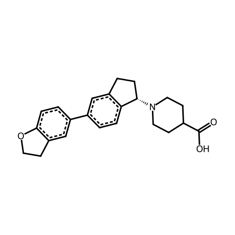 O=C(O)C1CCN([C@H]2CCc3cc(-c4ccc5c(c4)CCO5)ccc32)CC1